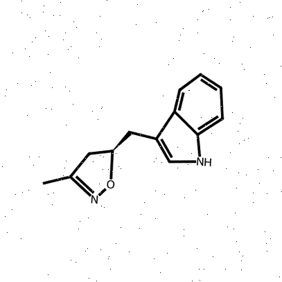 CC1=NO[C@H](Cc2c[nH]c3ccccc23)C1